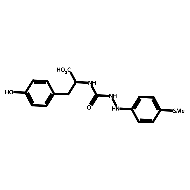 CSc1ccc(NNC(=O)NC(Cc2ccc(O)cc2)C(=O)O)cc1